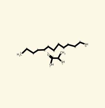 CC(S)C(=O)O.CCCCCCCCCCCCS